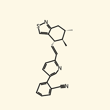 C[C@H]1[C@H](/C=C/c2ccc(-c3ccccc3C#N)cn2)c2csnc2C[C@@H]1C